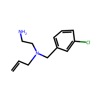 C=CCN(CCN)Cc1cccc(Cl)c1